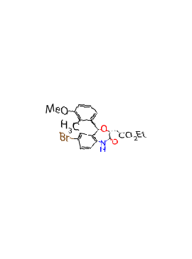 CCOC(=O)C[C@H]1O[C@H](c2cccc(OC)c2C)c2cc(Br)ccc2NC1=O